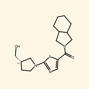 O=C(c1cnc(N2CC[C@H](CO)C2)s1)N1CC2CCCCC2C1